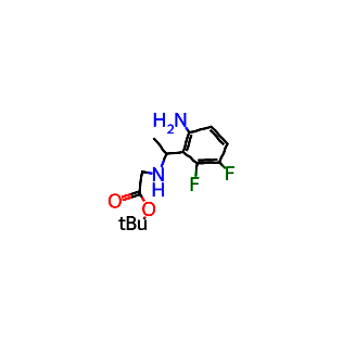 CC(NCC(=O)OC(C)(C)C)c1c(N)ccc(F)c1F